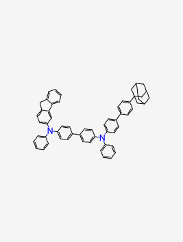 c1ccc(N(c2ccc(-c3ccc(N(c4ccccc4)c4ccc5c(c4)-c4ccccc4C5)cc3)cc2)c2ccc(-c3ccc(C45CC6CC(CC(C6)C4)C5)cc3)cc2)cc1